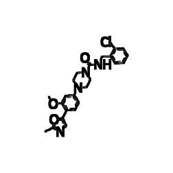 COc1cc(N2CCN(C(=O)NCc3ccccc3Cl)CC2)ccc1-c1cnc(C)o1